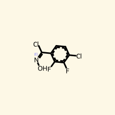 O/N=C(/Cl)c1ccc(Cl)c(F)c1F